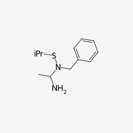 CC(C)SN(Cc1ccccc1)C(C)N